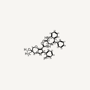 CC1(C)COc2c(C(=O)N[C@H]3N=C(c4ccccc4)c4ccccc4NC3=O)c(-c3ccccc3F)nn2C1